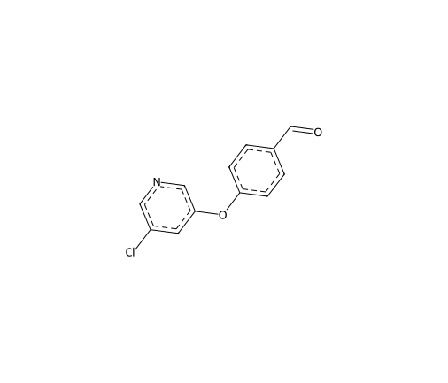 O=Cc1ccc(Oc2cncc(Cl)c2)cc1